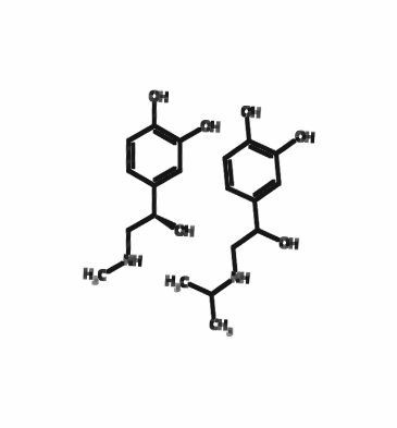 CC(C)NCC(O)c1ccc(O)c(O)c1.CNC[C@H](O)c1ccc(O)c(O)c1